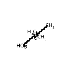 CCCCCCCCC(CC)(CC)OC(=O)CCCCCCCC(=O)O